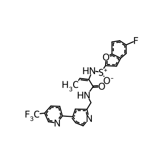 C/C=C(/N[S+]([O-])c1cc2cc(F)ccc2o1)C(=O)NCc1cc(-c2ccc(C(F)(F)F)cn2)ccn1